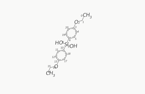 CCOc1ccc([Si](O)(O)c2ccc(OCC)cc2)cc1